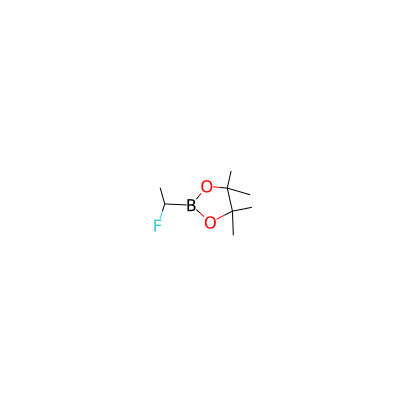 CC(F)B1OC(C)(C)C(C)(C)O1